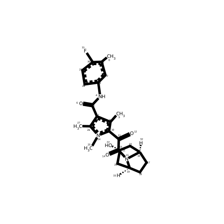 Cc1cc(NC(=O)c2c(C)c(C(=O)C(=O)N3[C@@H]4CC[C@H]3C[C@H](O)C4)n(C)c2C)ccc1F